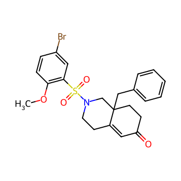 COc1ccc(Br)cc1S(=O)(=O)N1CCC2=CC(=O)CCC2(Cc2ccccc2)C1